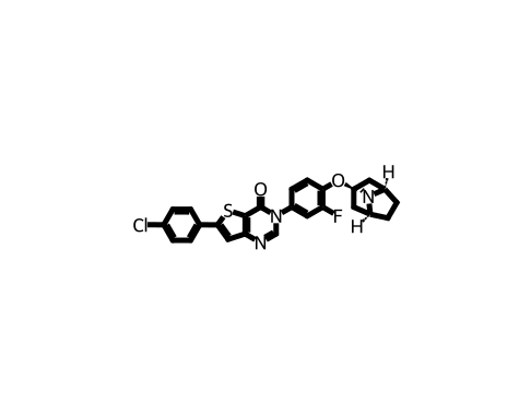 CN1[C@@H]2CC[C@H]1C[C@@H](Oc1ccc(-n3cnc4cc(-c5ccc(Cl)cc5)sc4c3=O)cc1F)C2